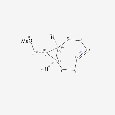 COC[C@H]1[C@@H]2CC/C=C/CC[C@@H]21